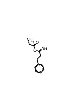 N=C(CCc1ccccc1)OC(=O)CN